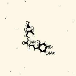 COc1cc(CCNC(=O)OCc2oc(=O)oc2C)c(OC)cc1Br